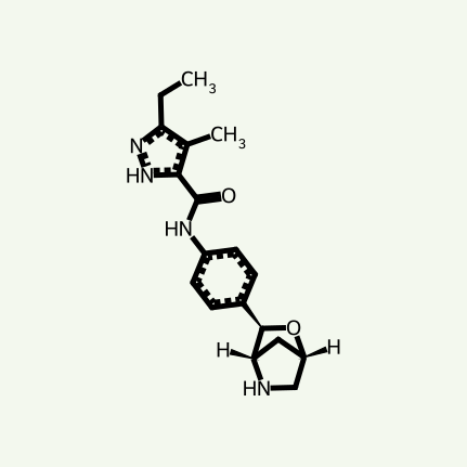 CCc1n[nH]c(C(=O)Nc2ccc([C@H]3O[C@@H]4CN[C@H]3C4)cc2)c1C